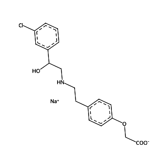 O=C([O-])COc1ccc(CCNCC(O)c2cccc(Cl)c2)cc1.[Na+]